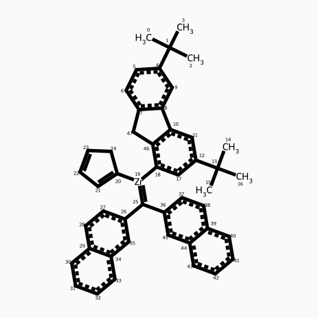 CC(C)(C)c1ccc2c(c1)-c1cc(C(C)(C)C)c[c]([Zr]([C]3=CC=CC3)=[C](c3ccc4ccccc4c3)c3ccc4ccccc4c3)c1C2